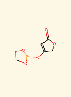 O=C1C=C(OP2OCCO2)CO1